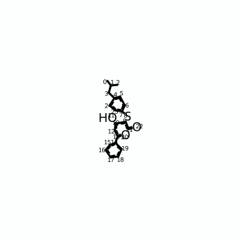 CC(C)Cc1ccc(Sc2c(O)cc(-c3ccccc3)oc2=O)cc1